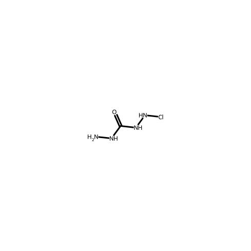 NNC(=O)NNCl